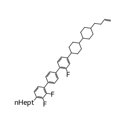 C=CCCC1CCC(C2CCC(c3ccc(-c4ccc(-c5ccc(CCCCCCC)c(F)c5F)cc4)c(F)c3)CC2)CC1